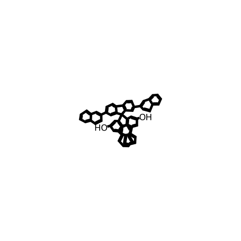 Oc1cc(C2(c3cc(O)cc4c3ccc3ccccc34)c3cc(-c4ccc5ccccc5c4)ccc3-c3ccc(-c4ccc5ccccc5c4)cc32)c2ccc3ccccc3c2c1